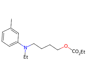 CCOC(=O)OCCCCN(CC)c1cccc(C)c1